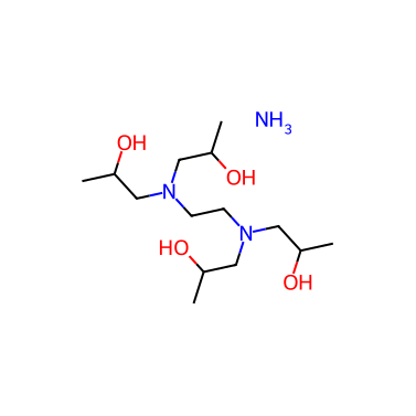 CC(O)CN(CCN(CC(C)O)CC(C)O)CC(C)O.N